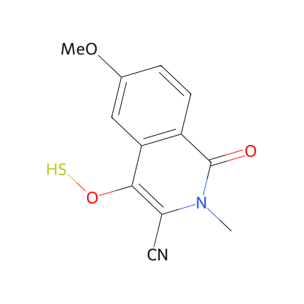 COc1ccc2c(=O)n(C)c(C#N)c(OS)c2c1